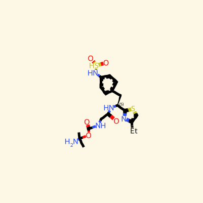 CCc1csc([C@H](Cc2ccc(N[SH](=O)=O)cc2)NC(=O)CNC(=O)OC(C)(C)N)n1